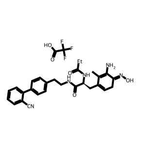 CCC(=O)N[C@@H](CC1=CCC(=NO)C(N)=C1C)C(=O)NCCc1ccc(-c2ccccc2C#N)cc1.O=C(O)C(F)(F)F